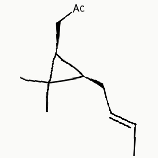 CC=CC[C@@H]1[C@H](CC(C)=O)C1(C)C